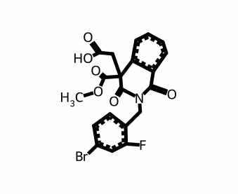 COC(=O)C1(CC(=O)O)C(=O)N(Cc2ccc(Br)cc2F)C(=O)c2ccccc21